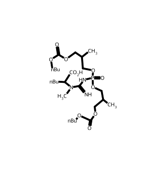 CCCCOC(=O)OCC(C)COP(=O)(NC(=N)N(C)C(CCCC)C(=O)O)OCC(C)COC(=O)OCCCC